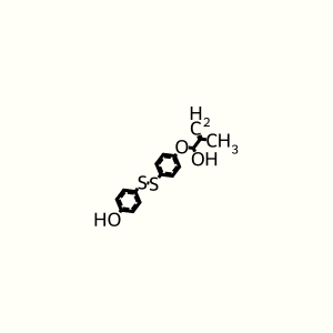 C=C(C)C(O)Oc1ccc(SSc2ccc(O)cc2)cc1